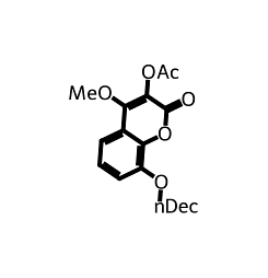 CCCCCCCCCCOc1cccc2c(OC)c(OC(C)=O)c(=O)oc12